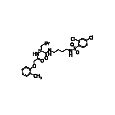 Cc1ccccc1OCC(=O)N[C@@H](CC(C)C)C(=O)NCCCCNS(=O)(=O)c1ccc(Cl)cc1Cl